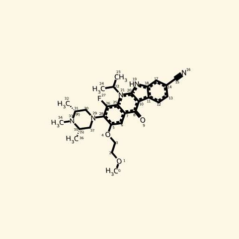 COCCOc1cc2c(=O)c3c4ccc(C#N)cc4[nH]c3n(C(C)C)c2c(F)c1N1C[C@@H](C)N(C)[C@@H](C)C1